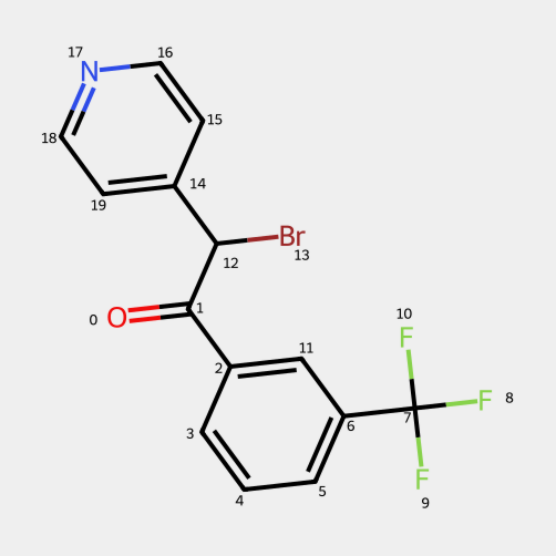 O=C(c1cccc(C(F)(F)F)c1)C(Br)c1ccncc1